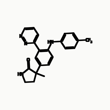 CC1(c2ccc(Nc3ccc(C(F)(F)F)cc3)c(-c3cccnn3)c2)CCNC1=O